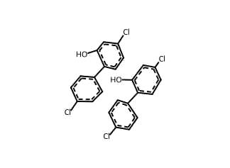 Oc1cc(Cl)ccc1-c1ccc(Cl)cc1.Oc1cc(Cl)ccc1-c1ccc(Cl)cc1